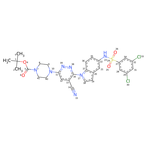 CC(C)(C)OC(=O)N1CCN(c2cc(C#N)c(-n3ccc4cc(NS(=O)(=O)c5cc(Cl)cc(Cl)c5)ccc43)nn2)CC1